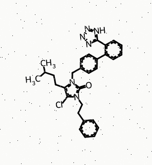 CC(C)CCc1c(Cl)n(CCc2ccccc2)c(=O)n1Cc1ccc(-c2ccccc2-c2nnn[nH]2)cc1